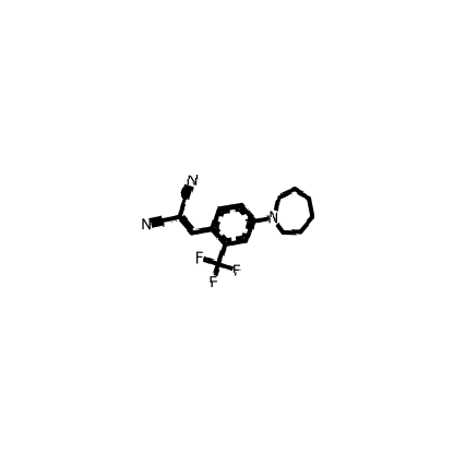 N#CC(C#N)=Cc1ccc(N2CCCCCC2)cc1C(F)(F)F